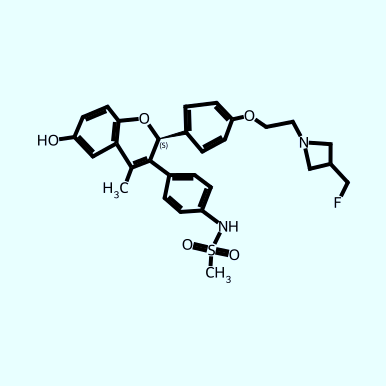 CC1=C(c2ccc(NS(C)(=O)=O)cc2)[C@H](c2ccc(OCCN3CC(CF)C3)cc2)Oc2ccc(O)cc21